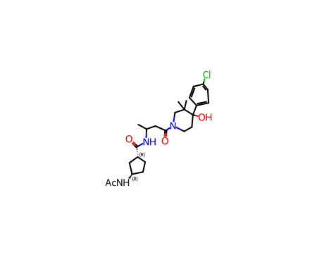 CC(=O)N[C@@H]1CC[C@@H](C(=O)NC(C)CC(=O)N2CCC(O)(c3ccc(Cl)cc3)C(C)(C)C2)C1